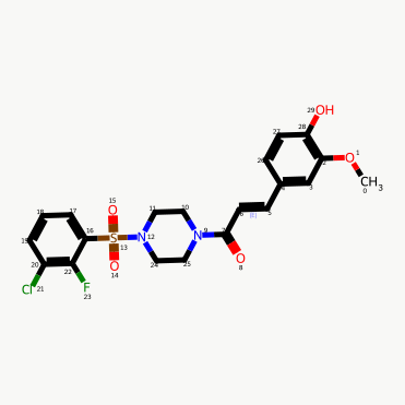 COc1cc(/C=C/C(=O)N2CCN(S(=O)(=O)c3cccc(Cl)c3F)CC2)ccc1O